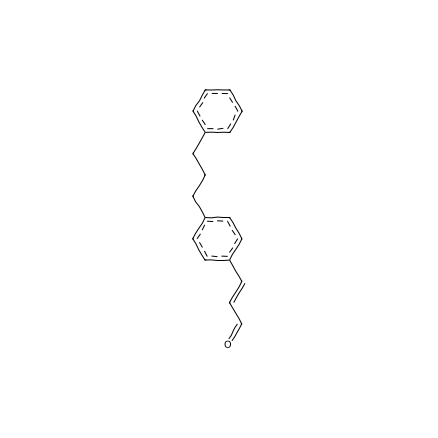 O=C/C=C/c1ccc(CCCc2ccccc2)cc1